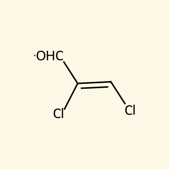 O=[C]/C(Cl)=C/Cl